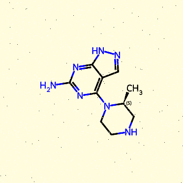 C[C@H]1CNCCN1c1nc(N)nc2[nH]ncc12